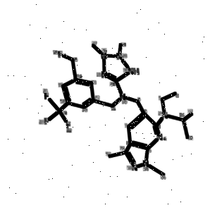 CCN(c1nc2c(cc1CN(Cc1cc(CF)cc(C(F)(F)F)c1)C1=NN(C)N(C)N1)c(C)nn2C)C(C)C